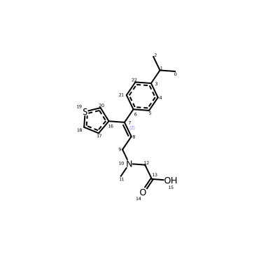 CC(C)c1ccc(/C(=C/CN(C)CC(=O)O)c2ccsc2)cc1